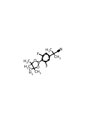 CC(C)(C#N)c1cc(F)c(B2OC(C)(C)C(C)(C)O2)c(F)c1